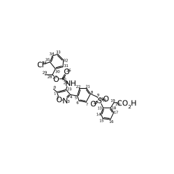 Cc1onc(-c2ccc(CS(=O)(=O)c3ccccc3CC(=O)O)cc2)c1NC(=O)OC(C)c1ccccc1Cl